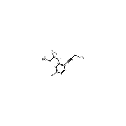 CCC#Cc1ccc(F)cc1O[C@H](C)CO